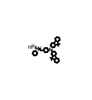 CCCN(N=Cc1ccc(N(c2ccc3c(c2)C(C)(C)c2ccccc2-3)c2ccc3c(c2)C(C)(C)c2ccccc2-3)cc1)c1ccccc1